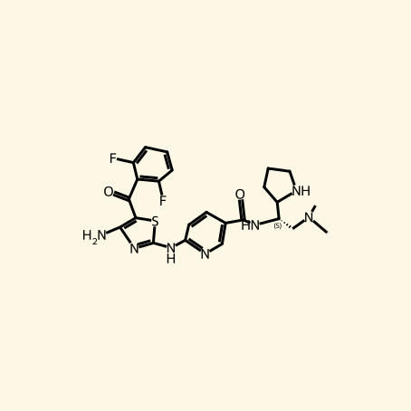 CN(C)C[C@H](NC(=O)c1ccc(Nc2nc(N)c(C(=O)c3c(F)cccc3F)s2)nc1)C1CCCN1